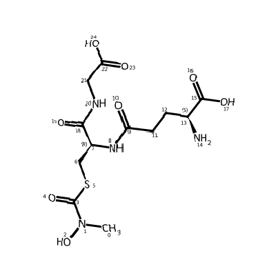 CN(O)C(=O)SC[C@H](NC(=O)CC[C@H](N)C(=O)O)C(=O)NCC(=O)O